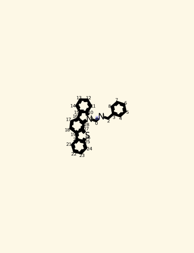 C(=N\Cc1ccccc1)/n1c2ccccc2c2ccc3c4ccccc4sc3c21